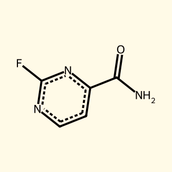 NC(=O)c1ccnc(F)n1